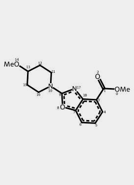 COC(=O)c1cccc2oc(N3CCC(OC)CC3)nc12